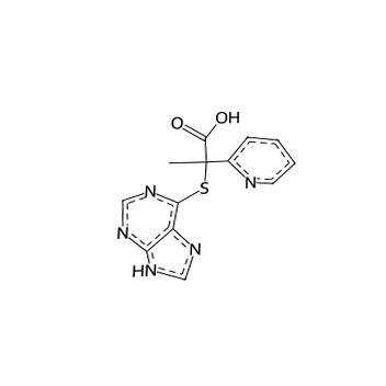 CC(Sc1ncnc2[nH]cnc12)(C(=O)O)c1ccccn1